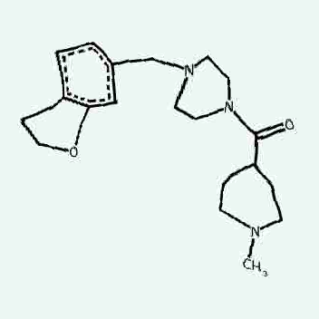 CN1CCC(C(=O)N2CCN(Cc3ccc4c(c3)OCC4)CC2)CC1